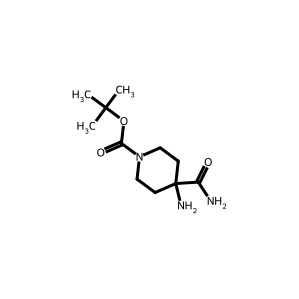 CC(C)(C)OC(=O)N1CCC(N)(C(N)=O)CC1